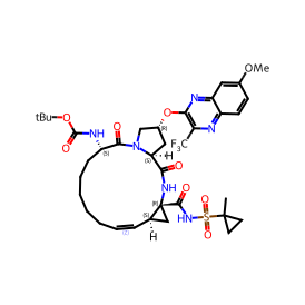 COc1ccc2nc(C(F)(F)F)c(O[C@@H]3C[C@H]4C(=O)N[C@]5(C(=O)NS(=O)(=O)C6(C)CC6)C[C@H]5/C=C\CCCCC[C@H](NC(=O)OC(C)(C)C)C(=O)N4C3)nc2c1